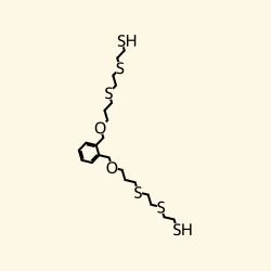 SCCSCCSCCCOCc1ccccc1COCCCSCCSCCS